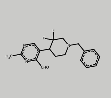 Cc1ncc(C2CCN(Cc3ccccc3)CC2(F)F)c(C=O)n1